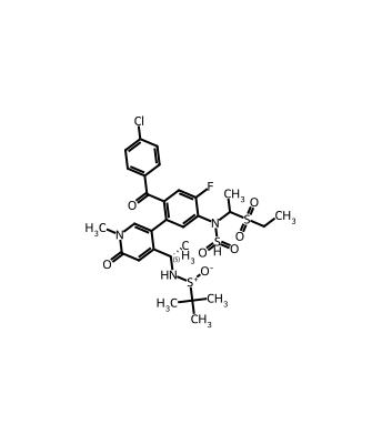 CCS(=O)(=O)C(C)N(c1cc(-c2cn(C)c(=O)cc2[C@H](C)N[S+]([O-])C(C)(C)C)c(C(=O)c2ccc(Cl)cc2)cc1F)[SH](=O)=O